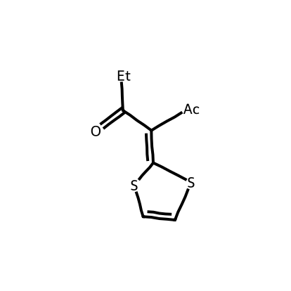 CCC(=O)C(C(C)=O)=C1SC=CS1